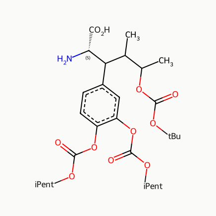 CCCC(C)OC(=O)Oc1ccc(C(C(C)C(C)OC(=O)OC(C)(C)C)[C@H](N)C(=O)O)cc1OC(=O)OC(C)CCC